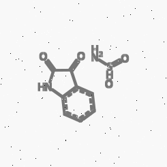 N[SH](=O)=O.O=C1Nc2ccccc2C1=O